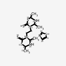 CC1NC(C)N(CCN2C(=S)SC(C)NC2C)C(=S)S1.c1cscn1